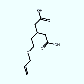 C=CCOCCC(CC(=O)O)CC(=O)O